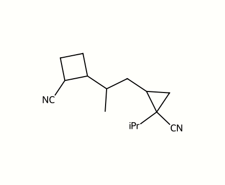 CC(CC1CC1(C#N)C(C)C)C1CCC1C#N